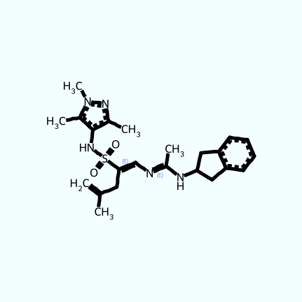 C=C(C)C/C(=C\N=C(/C)NC1Cc2ccccc2C1)S(=O)(=O)Nc1c(C)nn(C)c1C